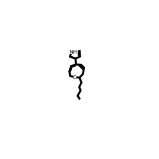 C=CC(CN)C1=C=CCCC(CCCCC)CC#C1